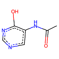 CC(=O)Nc1cncnc1O